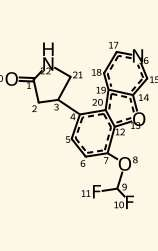 O=C1CC(c2ccc(OC(F)F)c3oc4cnccc4c23)CN1